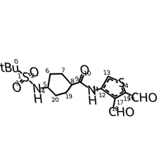 CC(C)(C)S(=O)(=O)NC1CCC(C(=O)Nc2csc(C=O)c2C=O)CC1